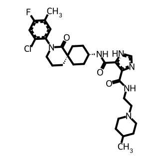 Cc1cc(N2CCC[C@]3(CC[C@@H](NC(=O)c4[nH]cnc4C(=O)NCCN4CCC(C)CC4)CC3)C2=O)c(Cl)cc1F